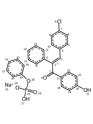 O=C(/C(=C/c1ccc(Cl)cc1)c1ccccc1)c1ccc(O)cc1.O=P([O-])(O)Oc1ccccc1.[Na+]